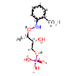 CC(=O)[C@H](ONc1ccccc1C(=O)O)[C@H](O)COP(=O)(O)O